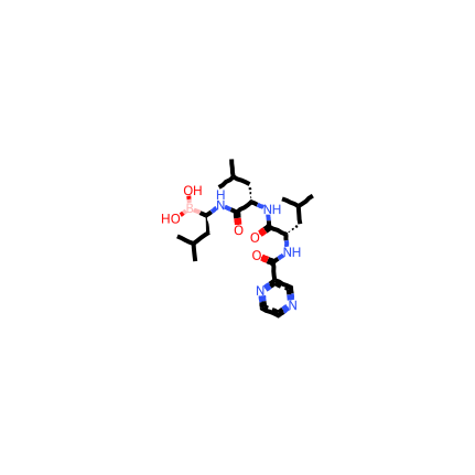 CC(C)C[C@H](NC(=O)[C@H](CC(C)C)NC(=O)[C@H](CC(C)C)NC(=O)c1cnccn1)B(O)O